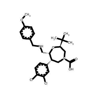 COc1ccc(CNC[C@@H]2O[C@@H](C(C)(C)C)CN(C(=O)O)C[C@@H]2c2ccc(Cl)c(Cl)c2)cc1